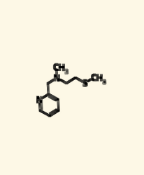 CSCCN(C)Cc1ccccn1